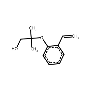 C=Cc1ccccc1OC(C)(C)CO